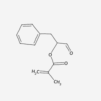 C=C(C)C(=O)OC(C=O)Cc1ccccc1